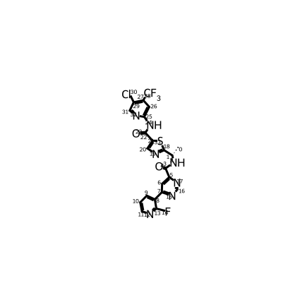 C[C@H](NC(=O)c1cc(-c2cccnc2F)ncn1)c1ncc(C(=O)Nc2cc(C(F)(F)F)c(Cl)cn2)s1